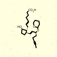 CC#CCC[C@@H](C=C[C@H]1CC[C@H](O)[C@@H]1CC=CCCCC(=O)O)OC1CCCCO1